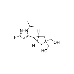 CC(C)n1nc(I)cc1C1[C@H]2CC(CO)(CO)C[C@@H]12